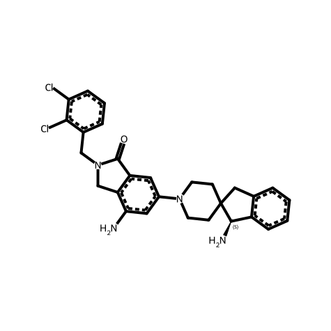 Nc1cc(N2CCC3(CC2)Cc2ccccc2[C@H]3N)cc2c1CN(Cc1cccc(Cl)c1Cl)C2=O